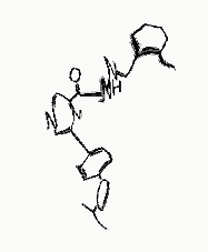 CC1=C(C=NNC(=O)c2cncc(-c3ccc(OC(C)C)cc3)n2)CCCC1